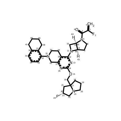 C=C(F)C(=O)N1CC[C@@H]2[C@H]1CN2c1nc(OCC23CCCN2C[C@H](F)C3)nc2c1CCN(c1cccc3c1CCCC3)C2